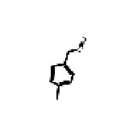 Cc1ccc(C[S+]=O)cc1